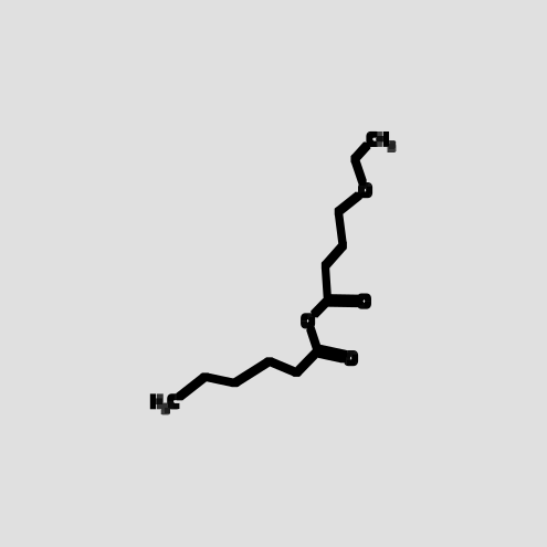 CCCCCC(=O)OC(=O)CCCOCC